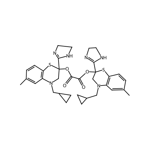 Cc1ccc2c(c1)N(CC1CC1)CC(OC(=O)C(=O)OC1(C3=NCCN3)CN(CC3CC3)c3cc(C)ccc3S1)(C1=NCCN1)S2